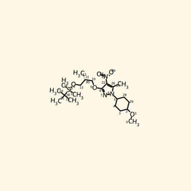 COC1CCC(n2nc(OC[C@@H](C)CO[Si](C)(C)C(C)(C)C)c([N+](=O)[O-])c2C)CC1